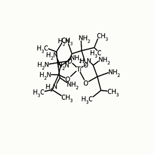 CC(C)C(N)([O][Ti]([O]C(N)(C(C)C)C(N)N)([O]C(N)(C(C)C)C(N)N)[O]C(N)(C(C)C)C(N)N)C(N)N